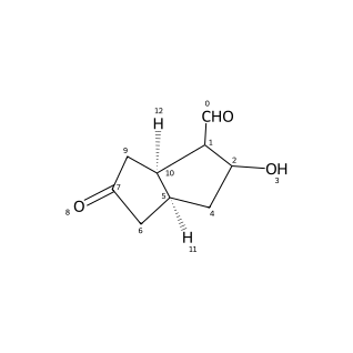 O=CC1C(O)C[C@H]2CC(=O)C[C@@H]12